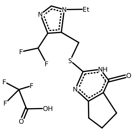 CCn1cnc(C(F)F)c1CSc1nc2c(c(=O)[nH]1)CCC2.O=C(O)C(F)(F)F